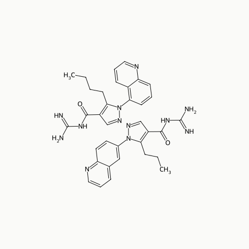 CCCCc1c(C(=O)NC(=N)N)cnn1-c1cccc2ncccc12.CCCc1c(C(=O)NC(=N)N)cnn1-c1ccc2ncccc2c1